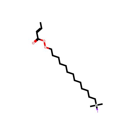 CC=CC(=O)OOCCCCCCCCCCCCC[Si](C)(C)I